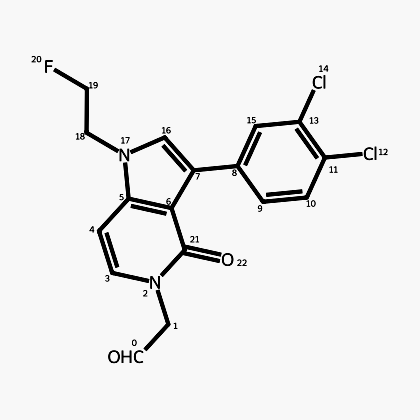 O=CCn1ccc2c(c(-c3ccc(Cl)c(Cl)c3)cn2CCF)c1=O